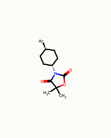 CC(=O)[C@H]1CC[C@H](N2C(=O)OC(C)(C)C2=O)CC1